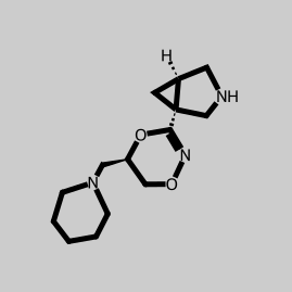 C1CCN(C[C@@H]2CON=C([C@@]34CNC[C@@H]3C4)O2)CC1